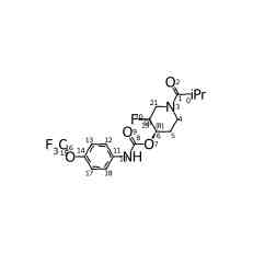 CC(C)C(=O)N1CC[C@@H](OC(=O)Nc2ccc(OC(F)(F)F)cc2)[C@@H](F)C1